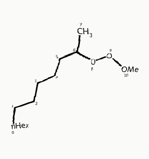 CCCCCCCCCCCC(C)OOOC